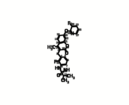 Cc1c(Cc2cccc(NS(=N)(=O)C(C)C)c2F)c(=O)oc2cc(Oc3ncccc3F)ccc12